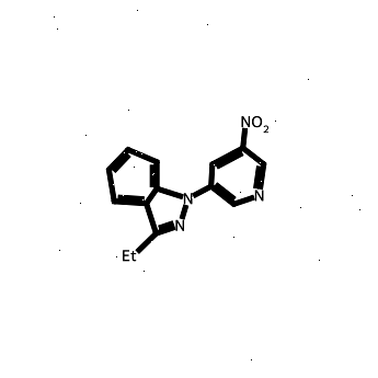 CCc1nn(-c2cncc([N+](=O)[O-])c2)c2ccccc12